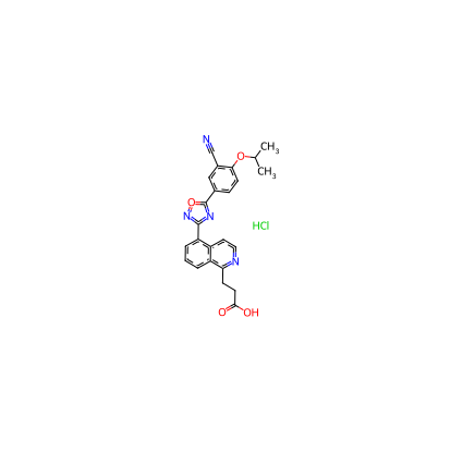 CC(C)Oc1ccc(-c2nc(-c3cccc4c(CCC(=O)O)nccc34)no2)cc1C#N.Cl